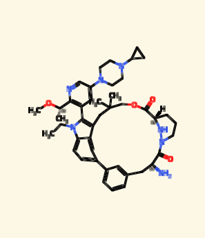 CCn1c(-c2cc(N3CCN(C4CC4)CC3)cnc2[C@H](C)OC)c2c3cc(ccc31)-c1cccc(c1)C[C@H](N)C(=O)N1CCC[C@H](N1)C(=O)OCC(C)(C)C2